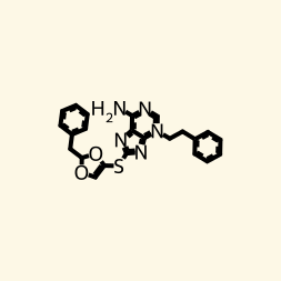 Nc1ncn(CCc2ccccc2)c2nc(SC3=COC(Cc4ccccc4)O3)nc1-2